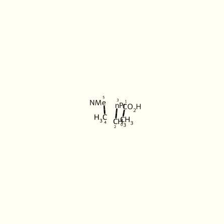 CC(=O)O.CCCC.CNC